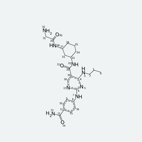 CCCNc1nc(Nc2ccc(C(N)=O)cc2)ncc1C(=O)NC1CCCC(NC(=O)CN)C1